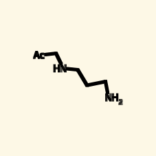 CC(=O)CNCCCN